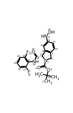 CC(C)(C)OC(=O)N1Cc2ccc(NO)cc2[C@H]1C(=O)Nc1c(F)cccc1F